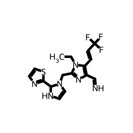 CCn1c(CN2C=CNC2c2nccs2)nc(C=N)c1/C=C/C(F)(F)F